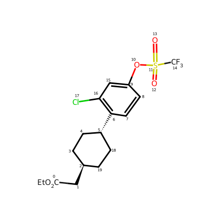 CCOC(=O)C[C@H]1CC[C@H](c2ccc(OS(=O)(=O)C(F)(F)F)cc2Cl)CC1